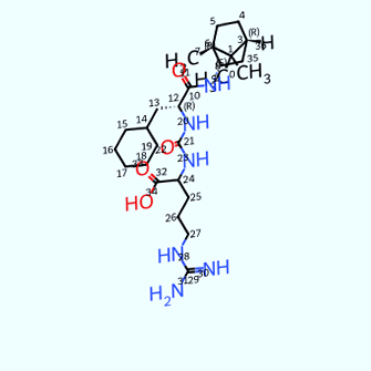 CC1(C)[C@@H]2CC[C@@]1(C)[C@@H](NC(=O)[C@@H](CC1CCCCC1)NC(=O)NC(CCCNC(=N)N)C(=O)O)C2